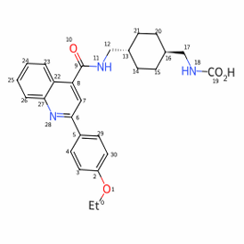 CCOc1ccc(-c2cc(C(=O)NC[C@H]3CC[C@H](CNC(=O)O)CC3)c3ccccc3n2)cc1